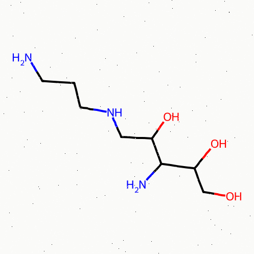 NCCCNCC(O)C(N)C(O)CO